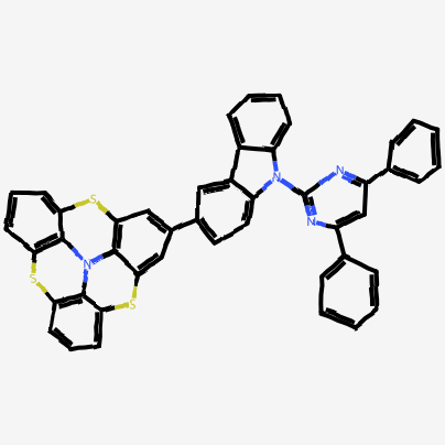 c1ccc(-c2cc(-c3ccccc3)nc(-n3c4ccccc4c4cc(-c5cc6c7c(c5)Sc5cccc8c5N7c5c(cccc5S6)S8)ccc43)n2)cc1